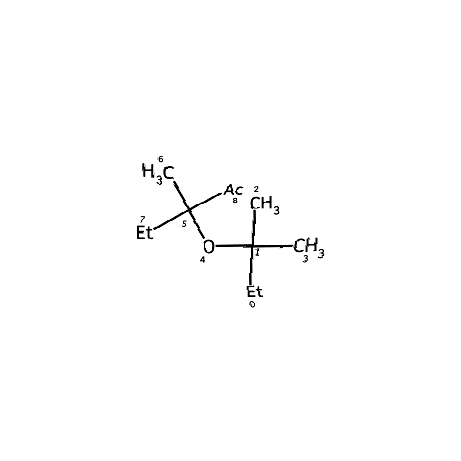 CCC(C)(C)OC(C)(CC)C(C)=O